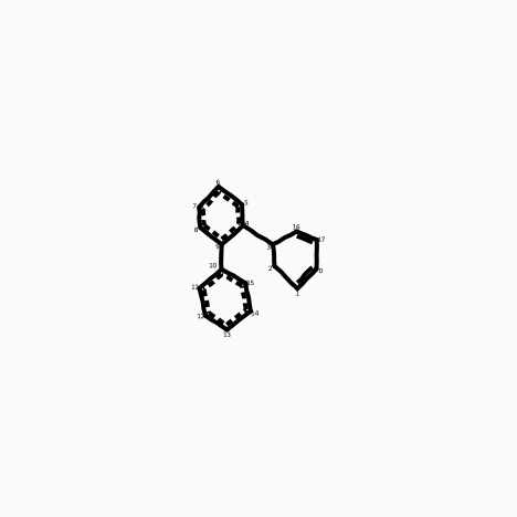 C1=CCC(c2ccccc2-c2ccccc2)C=C1